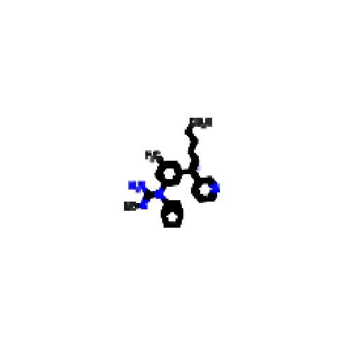 N#CN=C(N)N(c1cc(/C(=C\CCCC(=O)O)c2cccnc2)cc(C(F)(F)F)c1)C1CC2CCC1C2